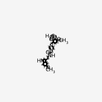 COc1ccc2[nH]cc(CCNC(=O)CN3CCN(Cc4ccc(OC)c(OC)c4OC)CC3)c2c1